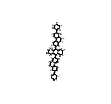 c1ccc(-c2ccc3c(ccc4cc(-c5c6ccccc6c(-c6ccc7c(ccc8cc(-c9ccccc9)ccc87)c6)c6ncccc56)ccc43)c2)cc1